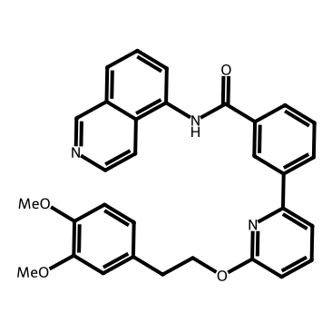 COc1ccc(CCOc2cccc(-c3cccc(C(=O)Nc4cccc5cnccc45)c3)n2)cc1OC